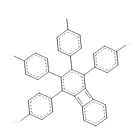 CC(C)(C)c1ccc(-c2c(-c3ccc(C(C)(C)C)cc3)c(-c3ccc(C(C)(C)C)cc3)c3c(c2-c2ccc(C(C)(C)C)cc2)=c2ccccc2=3)cc1